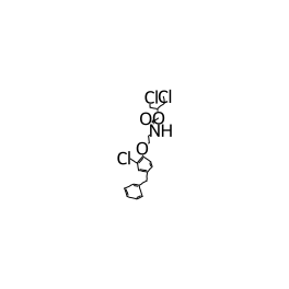 O=C(NCCOc1ccc(Cc2ccccc2)cc1Cl)OC(CCl)CCl